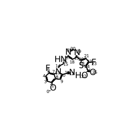 COc1ccc(F)c2c1cc(C#N)n2CCNc1cc(-c2cc(F)c(C(=O)O)s2)ncn1